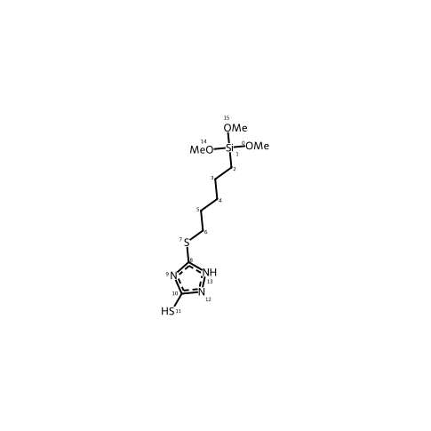 CO[Si](CCCCCSc1nc(S)n[nH]1)(OC)OC